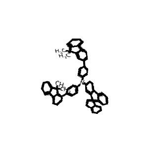 CC1(C)c2ccccc2-c2ccc(-c3ccc(N(c4ccc(-c5cccc6c5C(C)(C)c5ccccc5-6)cc4)c4ccc5c(c4)C4(CCc6ccccc64)c4ccccc4-5)cc3)cc21